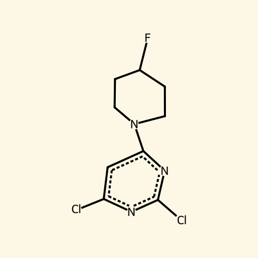 FC1CCN(c2cc(Cl)nc(Cl)n2)CC1